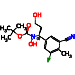 Cc1c(F)cc([C@H](CCO)N(O)C(=O)OC(C)(C)C)cc1C#N